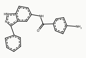 Nc1ccc(C(=O)Nc2ccc3[nH]nc(-c4ccccc4)c3c2)cc1